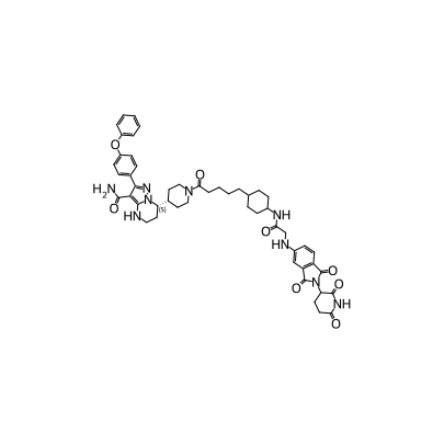 NC(=O)c1c(-c2ccc(Oc3ccccc3)cc2)nn2c1NCC[C@H]2C1CCN(C(=O)CCCCC2CCC(NC(=O)CNc3ccc4c(c3)C(=O)N(C3CCC(=O)NC3=O)C4=O)CC2)CC1